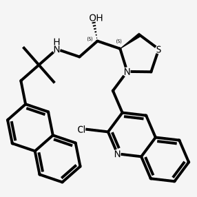 CC(C)(Cc1ccc2ccccc2c1)NC[C@H](O)[C@H]1CSCN1Cc1cc2ccccc2nc1Cl